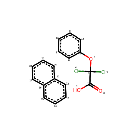 O=C(O)C(Cl)(Cl)Oc1ccccc1.c1ccc2ccccc2c1